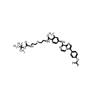 Cc1cc(Nc2nccn3c(-c4ccc(OC(F)F)cc4)cnc23)ccc1C(=O)NCCOCCNC(=O)OC(C)(C)C